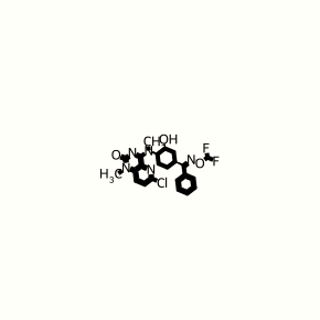 CN(c1nc(=O)n(C)c2ccc(Cl)nc12)[C@@H]1CC[C@H](/C(=N/OC(F)F)c2ccccc2)C[C@H]1O